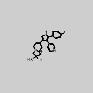 CC1(C)C[C@@H]2CC(c3c[nH]c(-c4ccc(F)cc4)c3-c3ccncc3)=CCN2C1